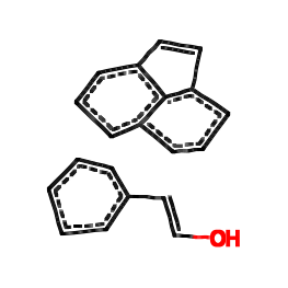 C1=Cc2cccc3cccc1c23.OC=Cc1ccccc1